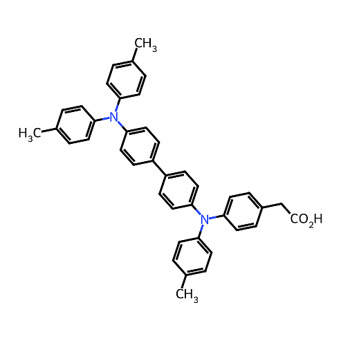 Cc1ccc(N(c2ccc(C)cc2)c2ccc(-c3ccc(N(c4ccc(C)cc4)c4ccc(CC(=O)O)cc4)cc3)cc2)cc1